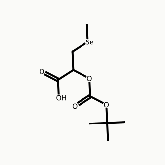 C[Se]CC(OC(=O)OC(C)(C)C)C(=O)O